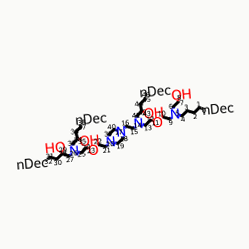 CCCCCCCCCCCCCCN(CCO)CCOCCN(CCN1CCN(CCOCCN(CC(O)CCCCCCCCCCCC)CC(O)CCCCCCCCCCCC)CC1)CC(O)CCCCCCCCCCCC